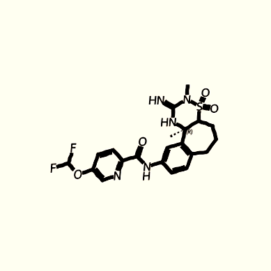 CN1C(=N)N[C@]2(C)c3cc(NC(=O)c4ccc(OC(F)F)cn4)ccc3CCCC2S1(=O)=O